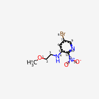 COCCNc1cc(Br)cnc1[N+](=O)[O-]